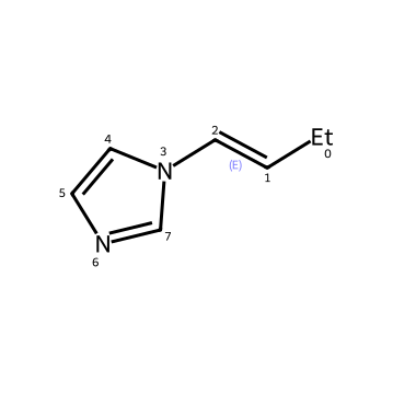 CC/C=C/n1ccnc1